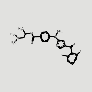 CC(CN(C)C)NC(=O)c1ccc(N(N)c2nc(C(=O)c3c(F)cccc3F)cs2)cc1